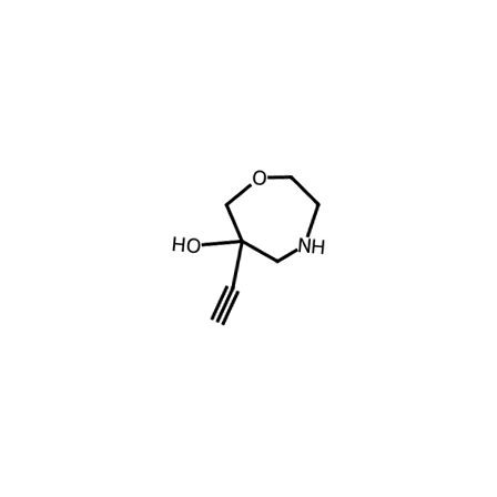 C#CC1(O)CNCCOC1